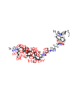 CC(=O)N[C@H]1[C@H]([C@H](O)[C@H](O)CO)O[C@@](O[C@H]2[C@@H](O)[C@@H](CO)O[C@@H](O[C@H]3[C@H](O)[C@@H](O)[C@H](C/C(C)=N/OCC(=O)NCCCCCNS(=O)(=O)c4cccc5c(N(C)C)cccc45)O[C@@H]3CO)[C@@H]2O)(C(=O)O)C[C@@H]1O